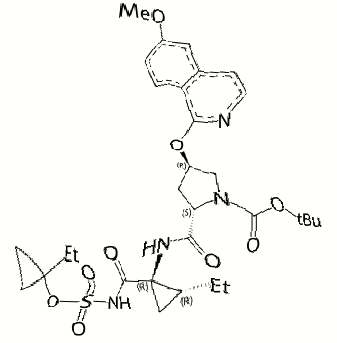 CC[C@@H]1C[C@]1(NC(=O)[C@@H]1C[C@@H](Oc2nccc3cc(OC)ccc23)CN1C(=O)OC(C)(C)C)C(=O)NS(=O)(=O)OC1(CC)CC1